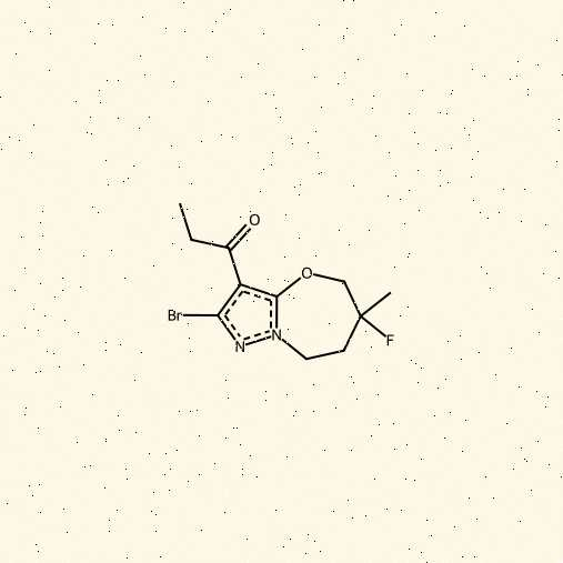 CCC(=O)c1c(Br)nn2c1OCC(C)(F)CC2